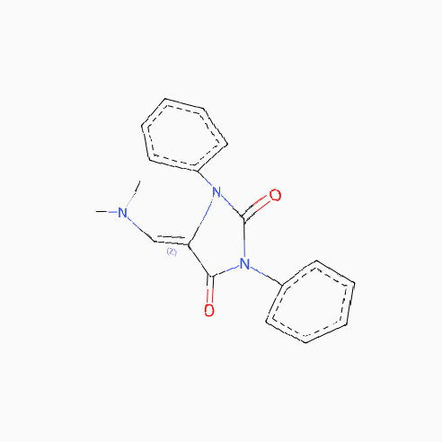 CN(C)/C=C1/C(=O)N(c2ccccc2)C(=O)N1c1ccccc1